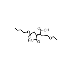 CCCCOC(=O)C/C(C(=O)O)=C(/CCOCC)C(=O)O